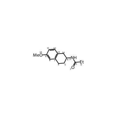 CCC(=O)NC1CCc2cc(OC)ccc2C1